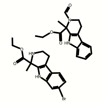 CCOC(=O)C1(C)NCCc2c1[nH]c1cc(Br)ccc21.CCOC(=O)C1(C)c2[nH]c3ccccc3c2CCN1C=O